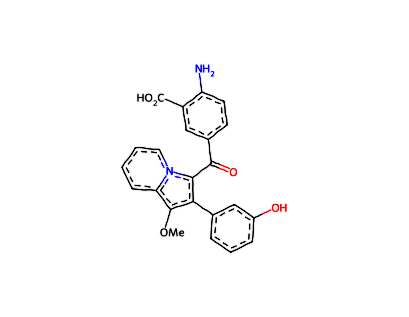 COc1c(-c2cccc(O)c2)c(C(=O)c2ccc(N)c(C(=O)O)c2)n2ccccc12